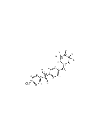 CN1C(C)(C)CC(Oc2ccc(S(=O)(=O)c3ccc(Cl)cc3)cc2)CC1(C)C